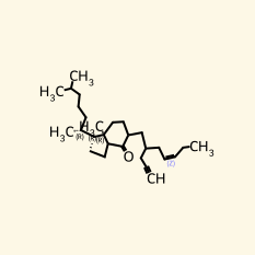 C#CCC(C/C=C\CC)CC1CC[C@@]2(C)C(CC[C@@H]2[C@H](C)CCCC(C)C)C1=O